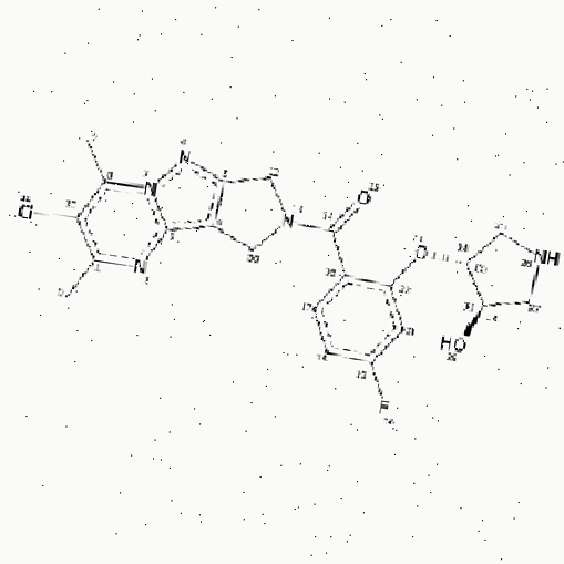 Cc1nc2c3c(nn2c(C)c1Cl)CN(C(=O)c1ccc(F)cc1O[C@@H]1CNC[C@H]1O)C3